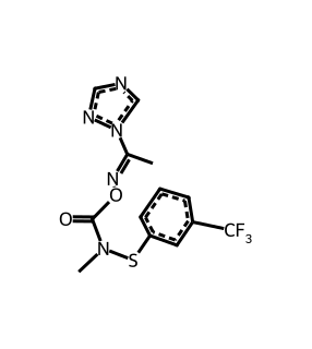 CC(=NOC(=O)N(C)Sc1cccc(C(F)(F)F)c1)n1cncn1